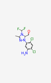 CC1=NN(c2cc(N)c(Cl)cc2Cl)C(C=O)N1C(F)F